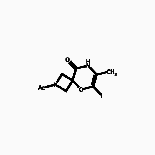 CC(=O)N1CC2(C1)OC(I)=C(C)NC2=O